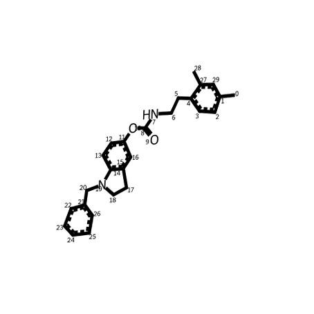 Cc1ccc(CCNC(=O)Oc2ccc3c(c2)CCN3Cc2ccccc2)c(C)c1